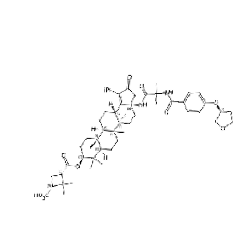 CC(C)C1=C2[C@H]3CC[C@@H]4[C@@]5(C)CC[C@H](OC(=O)[C@H]6C[C@@H](C(=O)O)C6(C)C)C(C)(C)[C@@H]5CC[C@@]4(C)[C@]3(C)CC[C@@]2(NC(=O)C(C)(C)NC(=O)c2ccc(O[C@H]3CCOC3)cc2)CC1=O